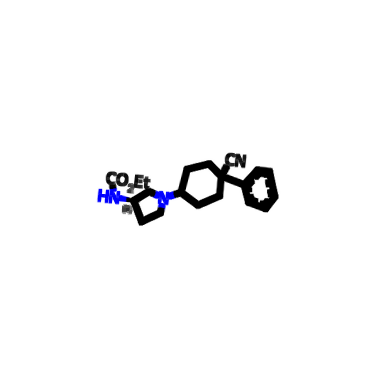 CCOC(=O)N[C@@H]1CCN(C2CCC(C#N)(c3ccccc3)CC2)C1